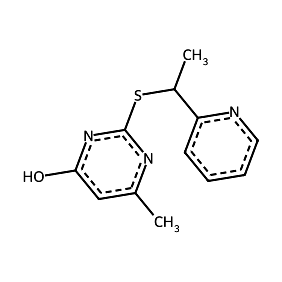 Cc1cc(O)nc(SC(C)c2ccccn2)n1